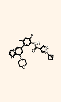 Cc1cc(F)c(NC(=O)c2cnn(C34CC(C3)C4)c2)cc1-c1cc(N2CCOCC2)c2nccn2c1